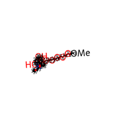 COCCOCCOCCOCCOCCOc1ccc2c3c1O[C@H]1[C@@H](O)CC[C@@]4(O)C(C2)N(CC2CCC2)CC[C@]314